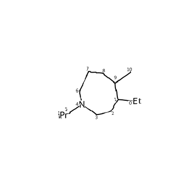 CCC1CCN(C(C)C)CCCC1C